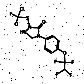 O=C1N(SC(F)(Cl)Cl)NCN1c1ccc(OC(F)(F)C(F)F)cc1